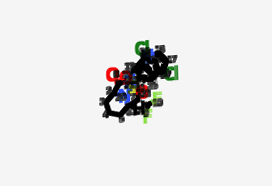 O=C1C2CCC[C@@H]([C@@H](C(F)F)CN1Cc1ccccn1)N2S(=O)(=O)c1cc(Cl)cc(Cl)c1